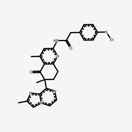 CCSc1ccc(CC(=O)Nc2cc(C)c3c(n2)CCC(C)(c2nccn4cc(C)nc24)C3=O)cc1